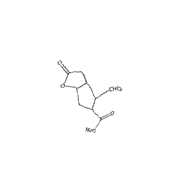 COC(=O)C1CC2OC(=O)CC2C1C=O